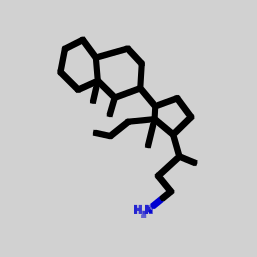 CCCC1(C)C(C(C)CCN)CCC1C1CCC2CCCCC2(C)C1C